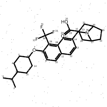 CC(C)C1CCC(Oc2ccc3ccc(CN4C5CCC4CC(C(=O)O)C5)cc3c2C(F)(F)F)CC1